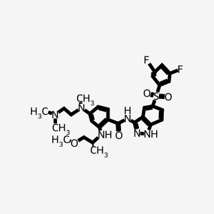 COC[C@@H](C)Nc1cc(N(C)CCN(C)C)ccc1C(=O)Nc1n[nH]c2ccc(S(=O)(=O)c3cc(F)cc(F)c3)cc12